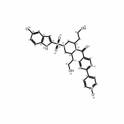 O=C(c1cnc(-c2cc[n+]([O-])cc2)nc1)N1C(CCO)CN(S(=O)(=O)c2cc3cc(Cl)ccc3[nH]2)CC1CCO